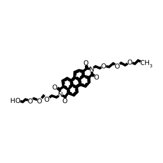 CCCOCCOCCOCCN1C(=O)c2ccc3c4ccc5c6c(ccc(c7ccc(c2c37)C1=O)c64)C(=O)N(CCOCOCOCCO)C5=O